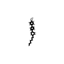 CCCCCCCC1CCC(c2ccc(-c3ccc(OC)cc3)cc2)CC1